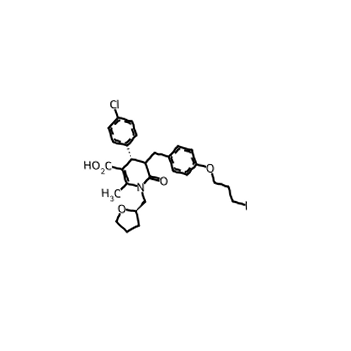 CC1=C(C(=O)O)[C@H](c2ccc(Cl)cc2)C(Cc2ccc(OCCCI)cc2)C(=O)N1C[C@H]1CCCO1